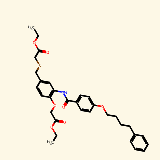 CCOC(=O)COc1ccc(CSCC(=O)OCC)cc1NC(=O)c1ccc(OCCCCc2ccccc2)cc1